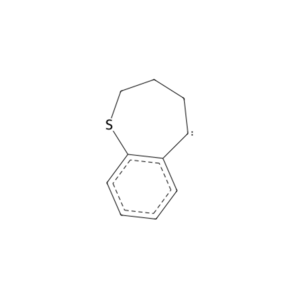 [C]1CCCSc2ccccc21